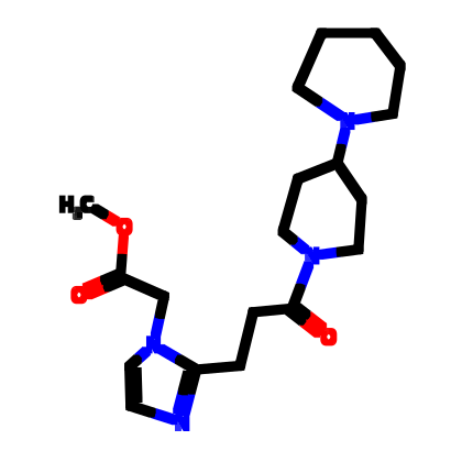 COC(=O)Cn1ccnc1CCC(=O)N1CCC(N2CCCCC2)CC1